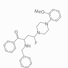 COc1ccccc1N1CCN(C(F)CC(NCc2ccccc2)C(=O)c2ccccc2)CC1